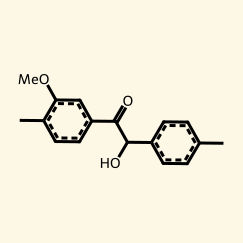 COc1cc(C(=O)C(O)c2ccc(C)cc2)ccc1C